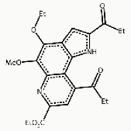 CCOC(=O)c1cc(C(=O)CC)c2c(n1)c(OC)c(OCC)c1cc(C(=O)CC)[nH]c12